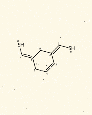 SC=C1C=CCC(=CS)C1